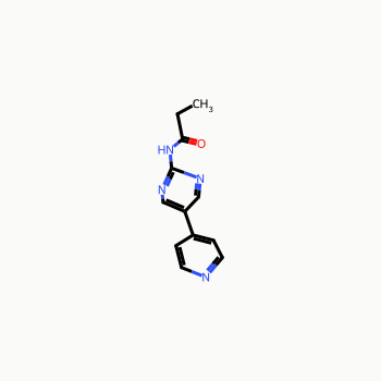 CCC(=O)Nc1ncc(-c2ccncc2)cn1